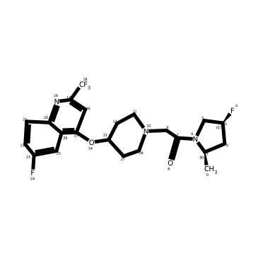 C[C@@H]1C[C@H](F)CN1C(=O)CN1CCC(Oc2cc(C(F)(F)F)nc3ccc(F)cc23)CC1